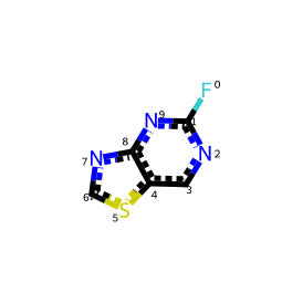 Fc1ncc2s[c]nc2n1